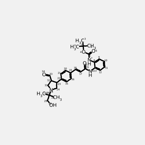 CC(C)(C)OC(=O)Nc1ccccc1NC(=O)/C=C/c1ccc(C2CN(C(C)(C)CO)CC2C=O)cc1